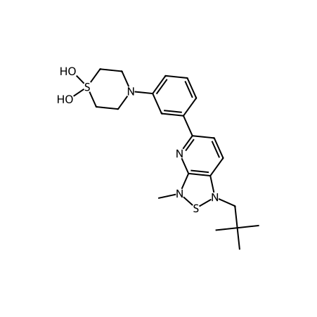 CN1SN(CC(C)(C)C)c2ccc(-c3cccc(N4CCS(O)(O)CC4)c3)nc21